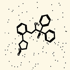 CC(Cc1ccccc1C1CC[PH](=O)C1)P(=O)(c1ccccc1)c1ccccc1